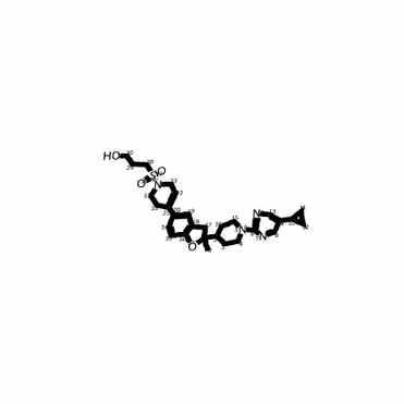 CC1(C2CCN(c3ncc(C4CC4)cn3)CC2)Cc2cc(C3=CCN(S(=O)(=O)CCCO)CC3)ccc2O1